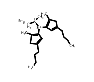 CCCCC1=C[C]([Zr+2]([C]2=C(C)CC(CCCC)=C2)[SiH](C)C)=C(C)C1.[Br-].[Br-]